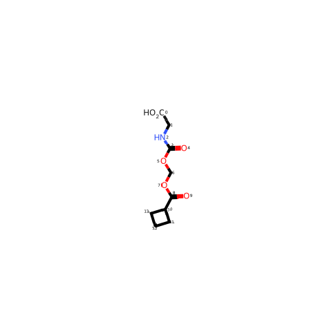 O=C(O)CNC(=O)OCOC(=O)C1CCC1